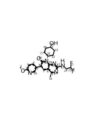 COc1ccc(-c2cc3c(C)nc(NCC(F)F)nc3n([C@H]3CC[C@H](O)CC3)c2=O)cn1